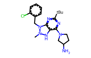 CN1Nc2c(N3CCC(N)C3)nc(C(C)(C)C)nc2N1Cc1ccccc1Cl